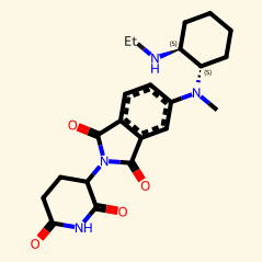 CCN[C@H]1CCCC[C@@H]1N(C)c1ccc2c(c1)C(=O)N(C1CCC(=O)NC1=O)C2=O